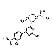 C[C@H]1CC[C@@H](N(C(=O)O)C(C)(C)C)CN1c1cc(-c2ccc3c(N)n[nH]c3c2)nc(N)n1